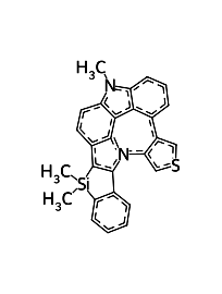 Cn1c2cccc3c4cscc4n4c5c(c6ccc1c(c32)c64)[Si](C)(C)c1ccccc1-5